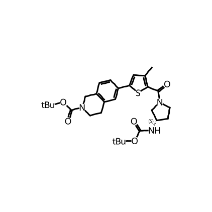 Cc1cc(-c2ccc3c(c2)CCN(C(=O)OC(C)(C)C)C3)sc1C(=O)N1CC[C@H](NC(=O)OC(C)(C)C)C1